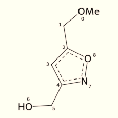 COCc1cc(CO)no1